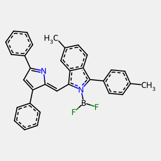 Cc1ccc(-c2c3ccc(C)cc3c(/C=C3\N=C(c4ccccc4)C=C3c3ccccc3)n2B(F)F)cc1